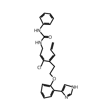 C=C/C=C(CCOc1ccccc1-c1c[nH]cn1)\C(Cl)=C/CNC(=O)Nc1ccccc1